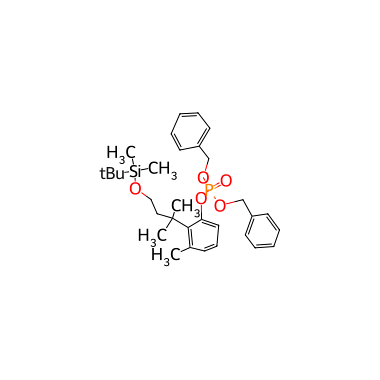 Cc1cccc(OP(=O)(OCc2ccccc2)OCc2ccccc2)c1C(C)(C)CCO[Si](C)(C)C(C)(C)C